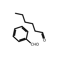 CCCCCC=O.O=Cc1ccccc1